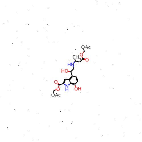 CC(=O)OCOC(=O)CC(C)NCC(O)c1ccc(O)c2[nH]c(C(=O)OCOC(C)=O)cc12